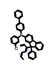 C=C/C(=C\C=C/C)C1(c2ccccc2)c2ccccc2-c2ccc(N(c3ccc(-c4ccccc4)cc3)c3cccc(Cl)c3)cc21